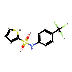 O=S(=O)(Nc1[c]cc(C(F)(F)F)cc1)c1cccs1